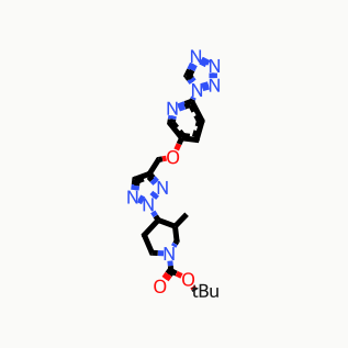 CC1CN(C(=O)OC(C)(C)C)CCC1n1ncc(COc2ccc(-n3cnnn3)nc2)n1